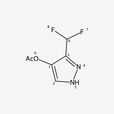 CC(=O)Oc1c[nH]nc1C(F)F